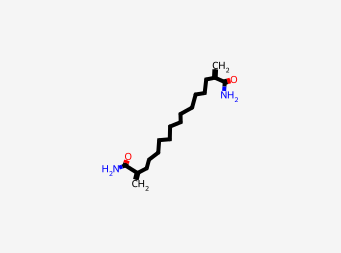 C=C(CCCCCCCCCCCCC(=C)C(N)=O)C(N)=O